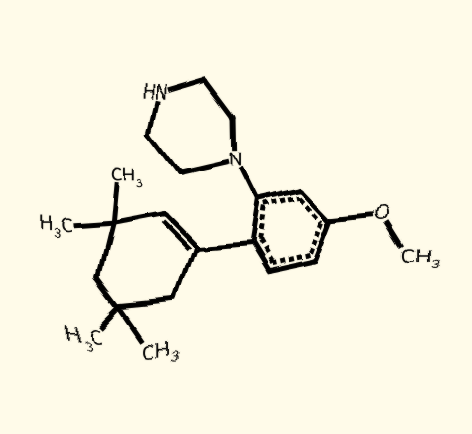 COc1ccc(C2=CC(C)(C)CC(C)(C)C2)c(N2CCNCC2)c1